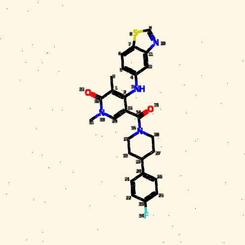 Cc1c(Nc2ccc3scnc3c2)c(C(=O)N2CCC(c3ccc(F)cc3)CC2)cn(C)c1=O